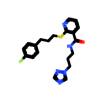 O=C(NCCCn1cncn1)c1cccnc1SCCCc1ccc(F)cc1